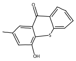 Cc1cc(O)c2sc3ccccc3c(=O)c2c1